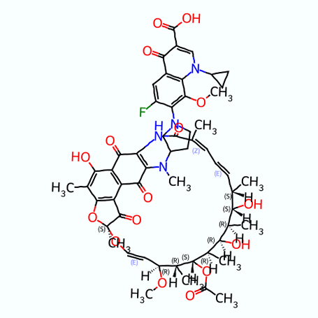 COc1c(N2CCC(N(C)C3=C4NC(=O)/C(C)=C\C=C\[C@H](C)[C@H](O)[C@@H](C)[C@@H](O)[C@@H](C)[C@H](OC(C)=O)[C@H](C)[C@@H](OC)/C=C/O[C@@]5(C)Oc6c(C)c(O)c(c(c6C5=O)C3=O)C4=O)C2)c(F)cc2c(=O)c(C(=O)O)cn(C3CC3)c12